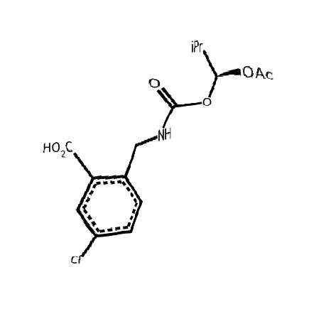 CC(=O)O[C@@H](OC(=O)NCc1ccc(Cl)cc1C(=O)O)C(C)C